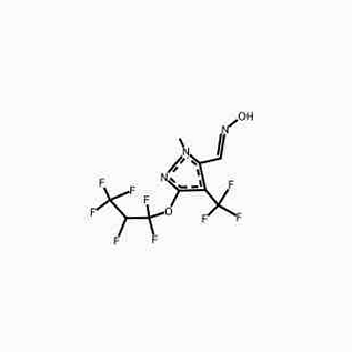 Cn1nc(OC(F)(F)C(F)C(F)(F)F)c(C(F)(F)F)c1C=NO